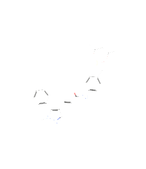 CC1CC(C)O[PH](O)(Cc2ccc(NC(=O)/C=C/c3cnn(C)c3-c3ccc(F)cc3)cc2)O1